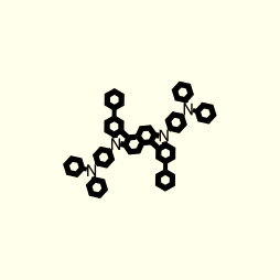 c1ccc(-c2ccc3c(c2)c2c4ccc5c(c4ccc2n3-c2ccc(N(c3ccccc3)c3ccccc3)cc2)c2cc(-c3ccccc3)ccc2n5-c2ccc(N(c3ccccc3)c3ccccc3)cc2)cc1